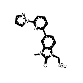 Cn1c(=O)n(CC(C)(C)C)c2ccc(-c3cccc(-n4cccn4)n3)cc21